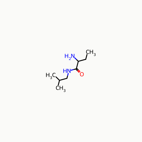 CCC(N)C(=O)NCC(C)C